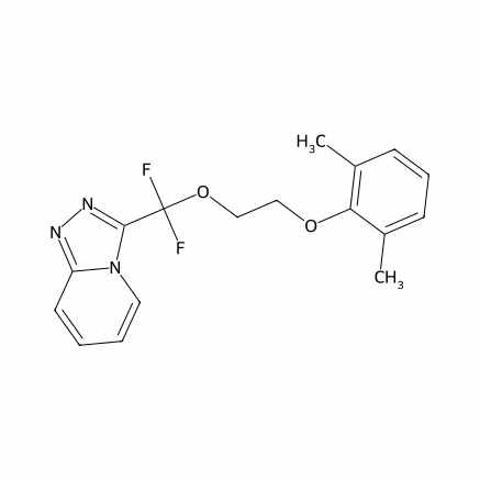 Cc1cccc(C)c1OCCOC(F)(F)c1nnc2ccccn12